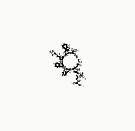 CC(=O)N[C@@H](CCCNC(=N)N)C(=O)N[C@H]1CC(=O)NCCCC[C@@H](C(=O)O)NC(=O)[C@H](Cc2c[nH]c3ccccc23)NC(=O)[C@H](CCCNC(N)=O)NC(=O)[C@@H](Cc2ccccc2)NC(=O)[C@H](Cc2c[nH]cn2)NC1=O